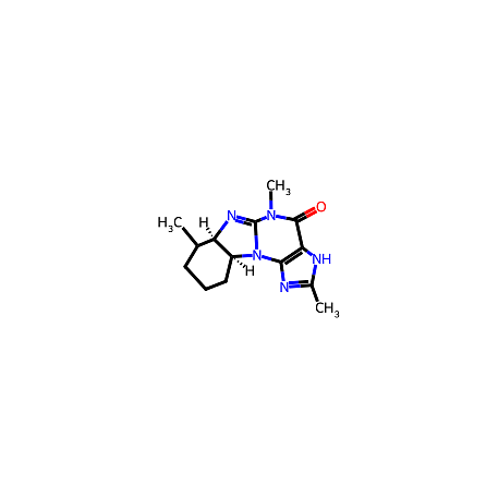 Cc1nc2c([nH]1)C(=O)N(C)C1=N[C@@H]3C(C)CCC[C@@H]3N12